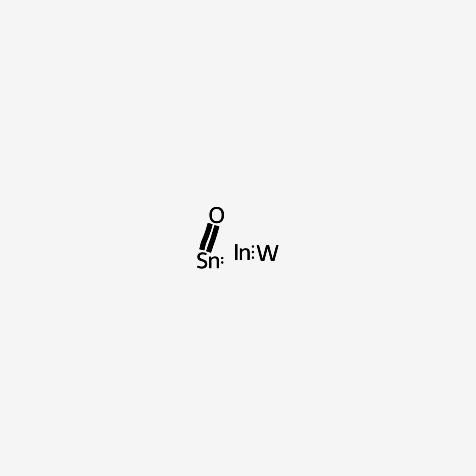 [In].[O]=[Sn].[W]